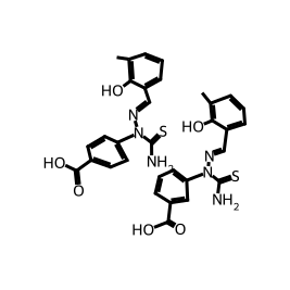 Cc1cccc(C=NN(C(N)=S)c2ccc(C(=O)O)cc2)c1O.Cc1cccc(C=NN(C(N)=S)c2cccc(C(=O)O)c2)c1O